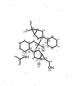 CC(C)N[C@@H]1CCCC(CC(C)(C)N[C@H]2CCCC[C@@H]2N2CC3C(C2)C3(F)F)[C@H]1N1CC2C(CO)[C@H]2C1